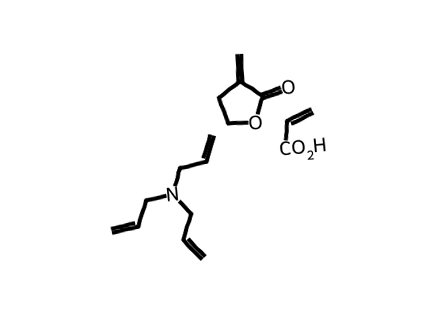 C=C1CCOC1=O.C=CC(=O)O.C=CCN(CC=C)CC=C